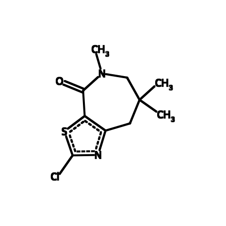 CN1CC(C)(C)Cc2nc(Cl)sc2C1=O